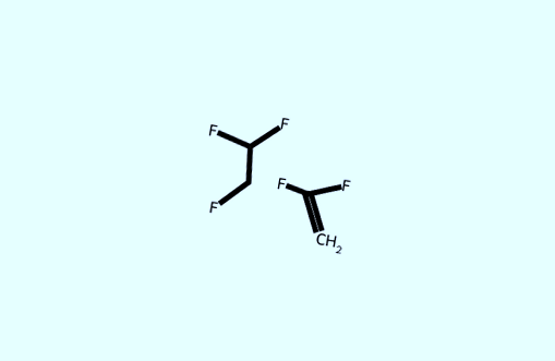 C=C(F)F.FCC(F)F